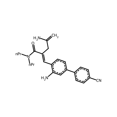 C=C(N)C/C(=C\c1ccc(-c2ccc(C#N)cc2)cc1N)C(=O)N(CCC)CCC